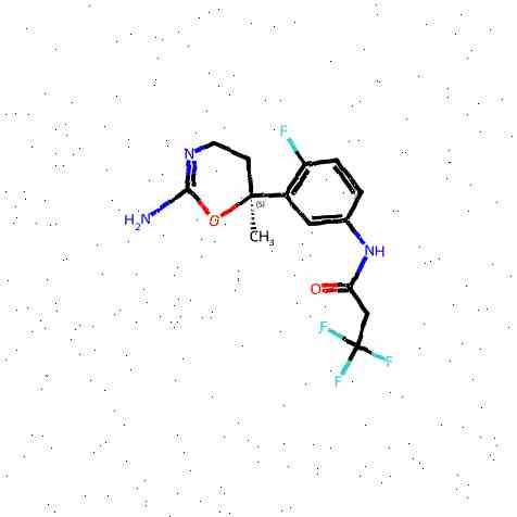 C[C@@]1(c2cc(NC(=O)CC(F)(F)F)ccc2F)CCN=C(N)O1